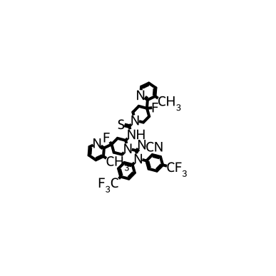 Cc1cccnc1C1(F)CCN(C(=S)NC2CC(F)(c3ncccc3C)CCN2C(=NC#N)N(c2ccc(C(F)(F)F)cc2)c2ccc(C(F)(F)F)cc2)CC1